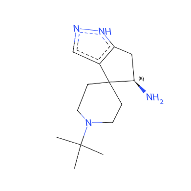 CC(C)(C)N1CCC2(CC1)c1cn[nH]c1C[C@H]2N